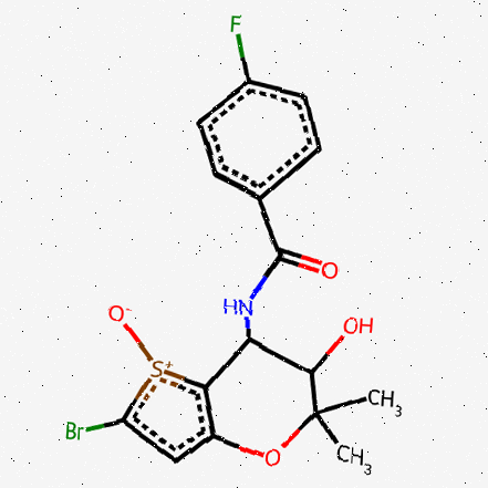 CC1(C)Oc2cc(Br)[s+]([O-])c2C(NC(=O)c2ccc(F)cc2)C1O